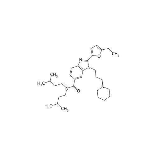 CCc1ccc(-c2nc3ccc(C(=O)N(CCC(C)C)CCC(C)C)cc3n2CCCN2CCCCC2)o1